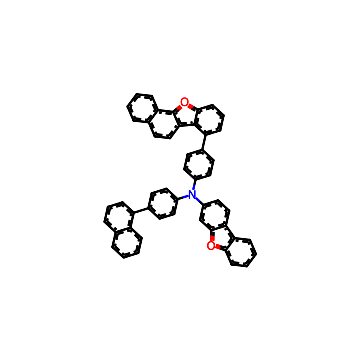 c1ccc2c(-c3ccc(N(c4ccc(-c5cccc6oc7c8ccccc8ccc7c56)cc4)c4ccc5c(c4)oc4ccccc45)cc3)cccc2c1